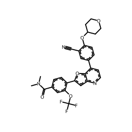 CN(C)C(=O)c1ccc(-c2cc3nccc(-c4ccc(OC5CCOCC5)c(C#N)c4)c3o2)c(OC(F)(F)F)c1